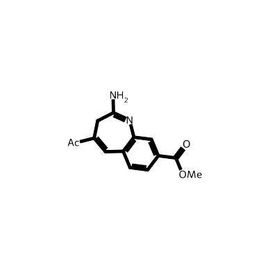 COC(=O)c1ccc2c(c1)N=C(N)CC(C(C)=O)=C2